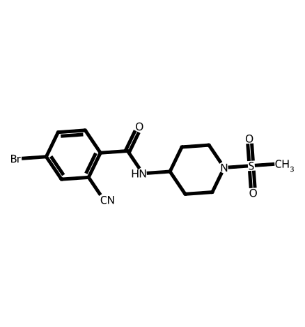 CS(=O)(=O)N1CCC(NC(=O)c2ccc(Br)cc2C#N)CC1